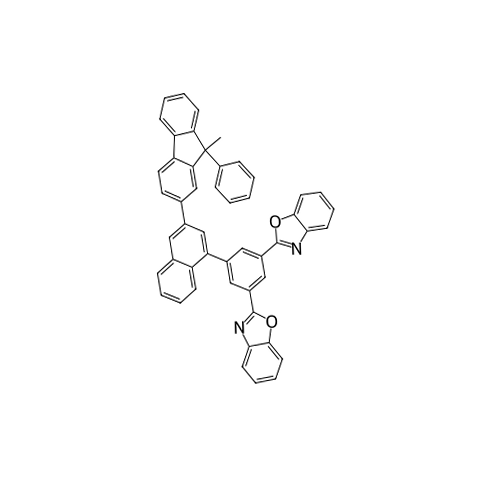 CC1(c2ccccc2)c2ccccc2-c2ccc(-c3cc(-c4cc(-c5nc6ccccc6o5)cc(-c5nc6ccccc6o5)c4)c4ccccc4c3)cc21